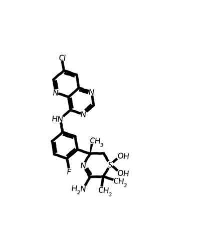 CC1(C)C(N)=N[C@](C)(c2cc(Nc3ncnc4cc(Cl)cnc34)ccc2F)CS1(O)O